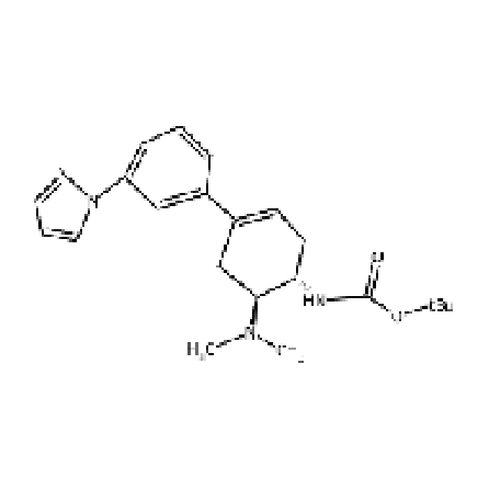 CN(C)[C@H]1CC(c2cccc(-n3cccn3)c2)=CC[C@@H]1NC(=O)OC(C)(C)C